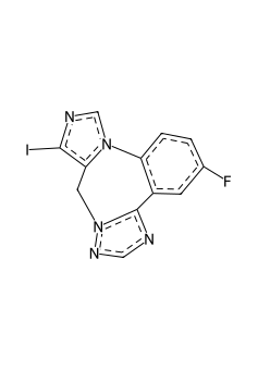 Fc1ccc2c(c1)-c1ncnn1Cc1c(I)ncn1-2